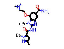 CCCn1c(NC(=O)c2cc(C)nn2CC)nc2cc(C(N)=O)cc(OCCN(C)C)c21